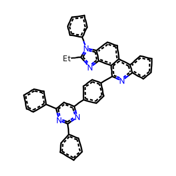 CCc1nc2c3c(-c4ccc(-c5cc(-c6ccccc6)nc(-c6ccccc6)n5)cc4)nc4ccccc4c3ccc2n1-c1ccccc1